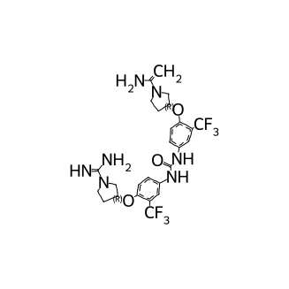 C=C(N)N1CC[C@@H](Oc2ccc(NC(=O)Nc3ccc(O[C@@H]4CCN(C(=N)N)C4)c(C(F)(F)F)c3)cc2C(F)(F)F)C1